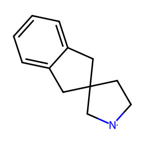 c1ccc2c(c1)CC1(CC[N]C1)C2